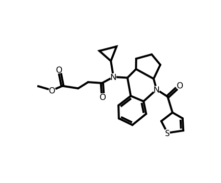 COC(=O)CCC(=O)N(C1CC1)C1c2ccccc2N(C(=O)C2C=CSC2)C2CCCC21